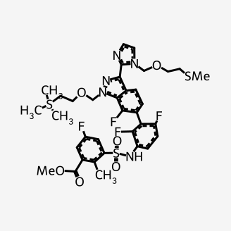 COC(=O)c1cc(F)cc(S(=O)(=O)Nc2ccc(F)c(-c3ccc4c(-c5nccn5COCCSC)nn(COCCS(C)(C)C)c4c3F)c2F)c1C